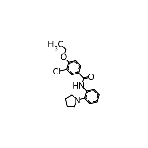 CCOc1ccc(C(=O)Nc2ccccc2N2CCCC2)cc1Cl